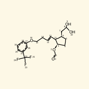 O=CO[C@@H]1CC[C@H](CC(O)O)C1/C=C/CCOc1cccc(C(F)(F)F)c1